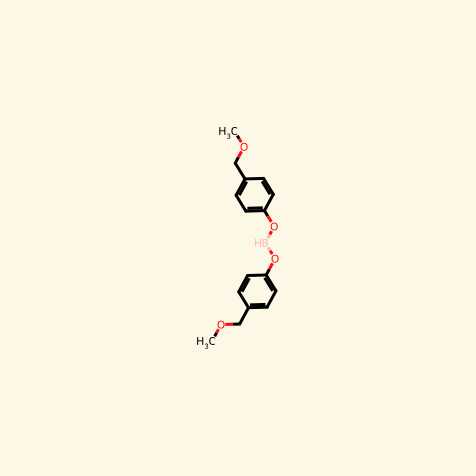 COCc1ccc(OBOc2ccc(COC)cc2)cc1